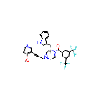 COc1ccncc1C#CCN1CCN(C(=O)c2cc(C(F)(F)F)cc(C(F)(F)F)c2)[C@H](Cc2c[nH]c3ccccc23)C1